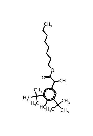 CCCCCCCCOC(=O)C(C)c1cc(C(C)(C)C)c(O)c(C(C)(C)C)c1